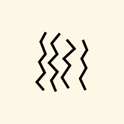 CCCCCC.CCCCCC.CCCCCCC.CCCCCCC